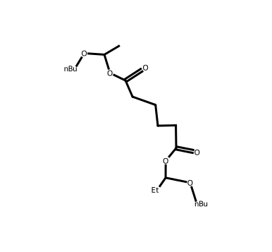 CCCCOC(C)OC(=O)CCCCC(=O)OC(CC)OCCCC